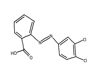 O=C(O)c1ccccc1N=Nc1ccc(Cl)c(Cl)c1